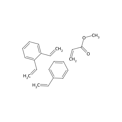 C=CC(=O)OC.C=Cc1ccccc1.C=Cc1ccccc1C=C